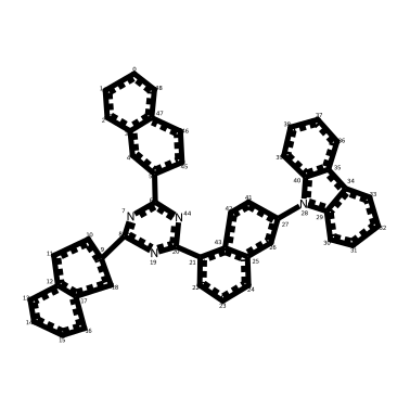 c1ccc2cc(-c3nc(-c4ccc5ccccc5c4)nc(-c4cccc5cc(-n6c7ccccc7c7ccccc76)ccc45)n3)ccc2c1